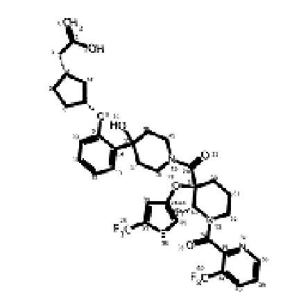 C=C(O)C[C@H]1CC[C@@H](Oc2ccccc2C2(O)CCN(C(=O)[C@]3(Oc4csc(C(F)(F)F)c4)CCCN(C(=O)c4ncccc4C(F)(F)F)[C@@H]3CCC)CC2)C1